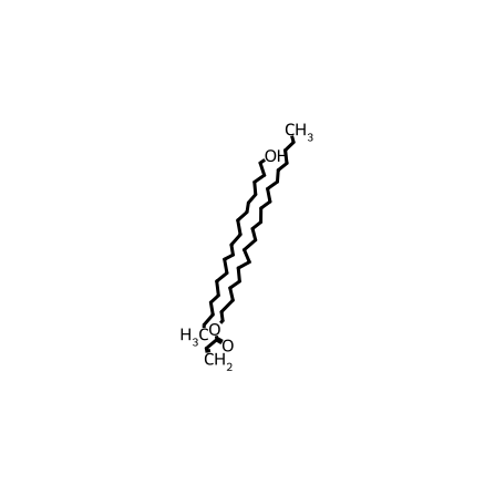 C=CC(=O)OCCCCCCCCCCCCCCCCCCCC.CCCCCCCCCCCCCCCCCCO